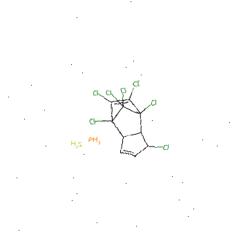 ClC1=C(Cl)C2(Cl)C3C(Cl)C=CC3C1(Cl)C2(Cl)Cl.P.S